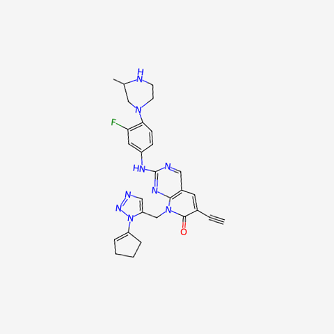 C#Cc1cc2cnc(Nc3ccc(N4CCNC(C)C4)c(F)c3)nc2n(Cc2cnnn2C2=CCCC2)c1=O